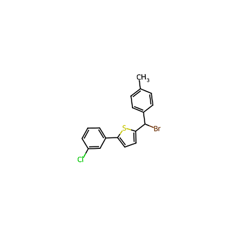 Cc1ccc(C(Br)c2ccc(-c3cccc(Cl)c3)s2)cc1